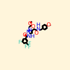 COC(=O)Cn1nc(NC(=O)c2cc(F)cc(C(F)(F)F)c2)cc1CC(=O)NCc1ccc(OC)cc1